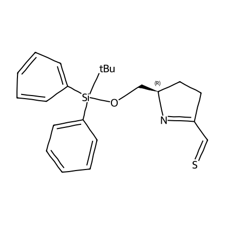 CC(C)(C)[Si](OC[C@H]1CCC(C=S)=N1)(c1ccccc1)c1ccccc1